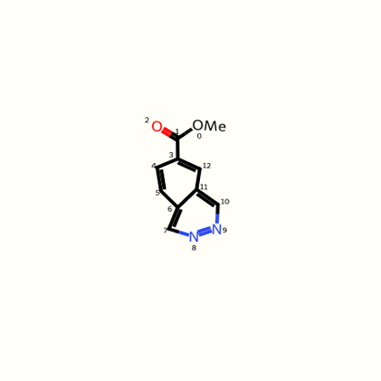 COC(=O)c1ccc2cnncc2c1